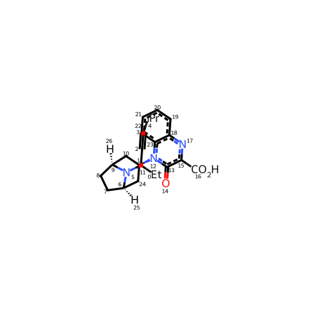 CCC(C#CC(C)C)N1[C@@H]2CC[C@H]1C[C@@H](n1c(=O)c(C(=O)O)nc3ccccc31)C2